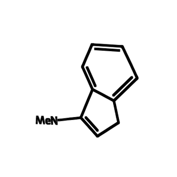 CNC1=CCc2ccccc21